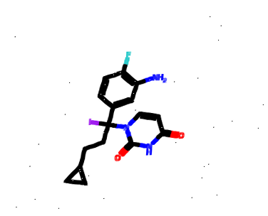 Nc1cc(C(I)(CCC2CC2)n2ccc(=O)[nH]c2=O)ccc1F